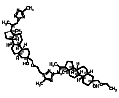 CCOC[C@@]1(O)CC[C@H]2[C@H](CC[C@@H]3[C@@H]2CC[C@]2(C)[C@@H]([C@H](C)Cn4nc(C)[n+](CCOC[C@@]5(O)CC[C@H]6[C@H](CC[C@@H]7[C@@H]6CC[C@]6(C)[C@@H]([C@@H](C)Cn8nnc(C)n8)CC[C@@H]76)C5)n4)CC[C@@H]32)C1